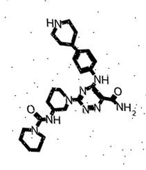 NC(=O)c1nnc(N2CCCC(NC(=O)N3CCCCC3)C2)nc1Nc1ccc(C2CCNCC2)cc1